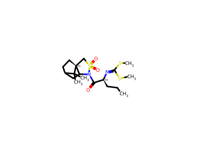 CCC[C@H](N=C(SC)SC)C(=O)N1C2CC3CC[C@]2(CS1(=O)=O)C3(C)C